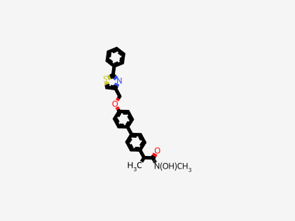 CC(C(=O)N(C)O)c1ccc(-c2ccc(OCc3csc(-c4ccccc4)n3)cc2)cc1